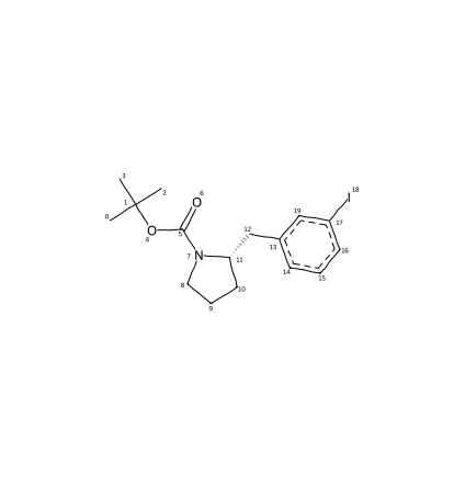 CC(C)(C)OC(=O)N1CCC[C@H]1Cc1cccc(I)c1